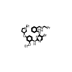 CCOc1cc(OC2CCN(CC)C2)ccc1Nc1ncc(Br)c(Nc2ccccc2CNCC(C)C)n1